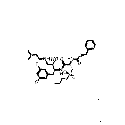 CCCCS(=O)(=O)C[C@@H](NC(=O)OCc1ccccc1)C(=O)N[C@@H](Cc1cc(F)cc(F)c1)[C@H](O)CNCCC(C)C